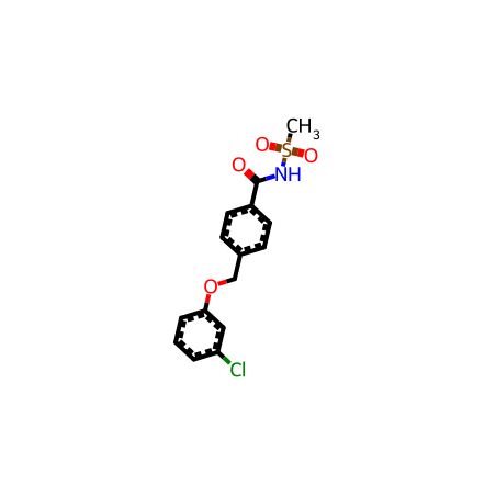 CS(=O)(=O)NC(=O)c1ccc(COc2cccc(Cl)c2)cc1